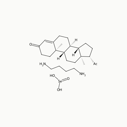 CC(=O)[C@H]1CC[C@H]2[C@@H]3CCC4=CC(=O)CC[C@]4(C)[C@H]3CC[C@]12C.NCCCCN.O=[Se](O)O